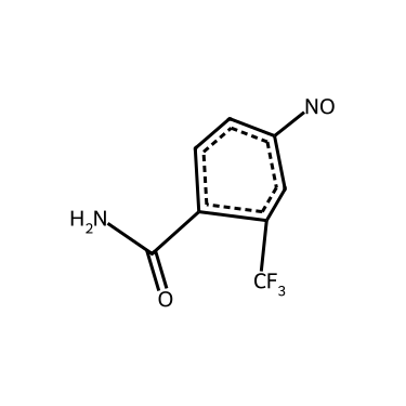 NC(=O)c1ccc(N=O)cc1C(F)(F)F